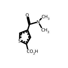 CN(C)C(=O)c1csc(C(=O)O)c1